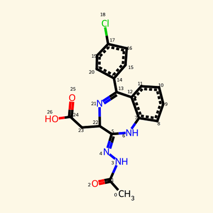 CC(=O)NN=C1Nc2ccccc2C(c2ccc(Cl)cc2)=NC1CC(=O)O